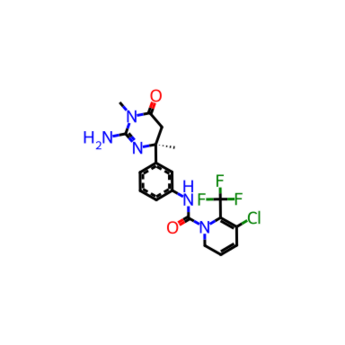 CN1C(=O)C[C@@](C)(c2cccc(NC(=O)N3CC=CC(Cl)=C3C(F)(F)F)c2)N=C1N